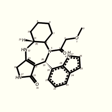 COCC(=O)N1C2CCCC[C@H]2NC2=C(C(=O)NC2)[C@H]1c1cccc2cc[nH]c12